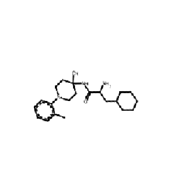 Cc1ccccc1N1CCC(C#N)(NC(=O)C(N)CC2CCCCC2)CC1